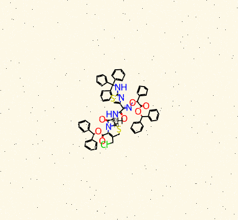 O=C(OC(c1ccccc1)c1ccccc1)C1=C(CCl)CS[C@@H]2[C@H](NC(=O)/C(=N/OC(C(=O)OC(c3ccccc3)c3ccccc3)c3ccccc3)c3csc(NC(c4ccccc4)(c4ccccc4)c4ccccc4)n3)C(=O)N12